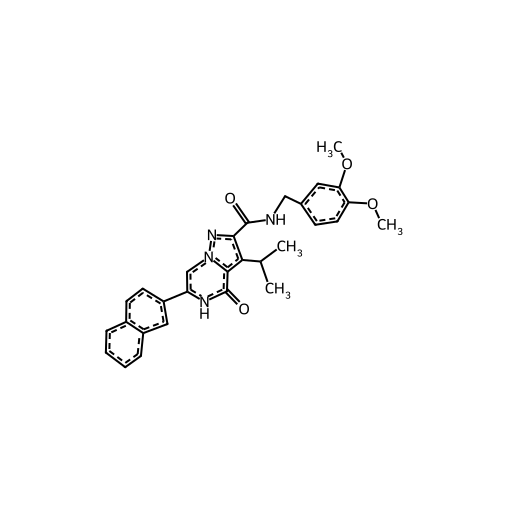 COc1ccc(CNC(=O)c2nn3cc(-c4ccc5ccccc5c4)[nH]c(=O)c3c2C(C)C)cc1OC